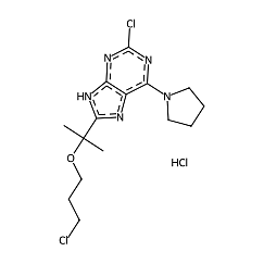 CC(C)(OCCCCl)c1nc2c(N3CCCC3)nc(Cl)nc2[nH]1.Cl